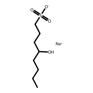 CCCCC(O)CCCS(=O)(=O)[O-].[Na+]